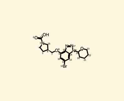 O=C(O)N1CC[C@H](COc2cc(Br)cc3c2nnn3C2CCCCO2)C1